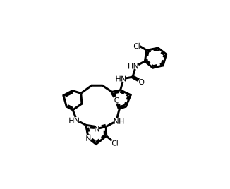 O=C(Nc1ccccc1Cl)Nc1ccc2cc1CCC1C=CC=C(C1)Nc1ncc(Cl)c(n1)N2